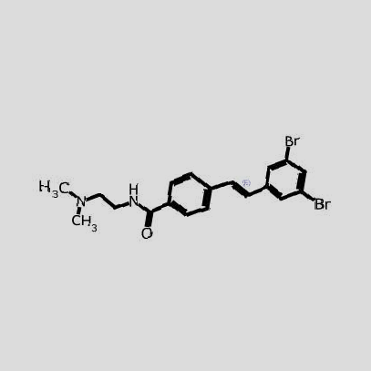 CN(C)CCNC(=O)c1ccc(/C=C/c2cc(Br)cc(Br)c2)cc1